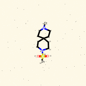 CCN1CCC2(CC1)CCN(S(=O)(=O)C(C)C)CC2